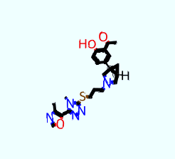 CC(=O)c1cc([C@@]23C[C@H]2CN(CCCSc2nnc(-c4ocnc4C)n2C)C3)ccc1O